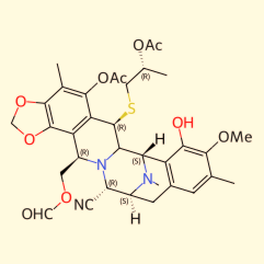 COc1c(C)cc2c(c1O)[C@H]1C3[C@H](SC[C@@H](C)OC(C)=O)c4c(OC(C)=O)c(C)c5c(c4[C@H](COC=O)N3[C@@H](C#N)[C@H](C2)N1C)OCO5